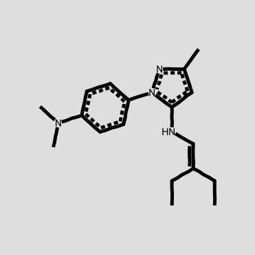 CCC(=CNc1cc(C)nn1-c1ccc(N(C)C)cc1)CC